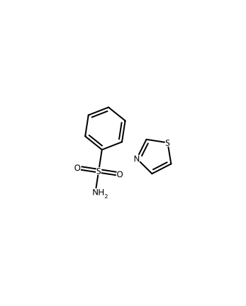 NS(=O)(=O)c1ccccc1.c1cscn1